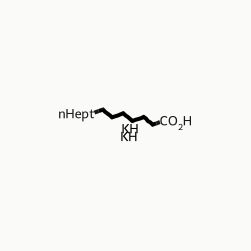 CCCCCCCCCCCCCC(=O)O.[KH].[KH]